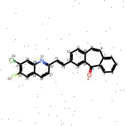 O=c1c2ccccc2ccc2ccc(C=Cc3ccc4cc(F)c(Cl)cc4n3)cc12